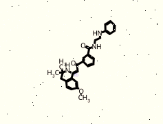 COc1ccc2c(c1)/C(=C/C(=O)c1cccc(C(=O)NCCNc3ccccc3)c1)NC(C)(C)C2